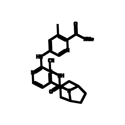 CNC(=O)c1ncc(Nc2nccc(N3CC4CCC(C3)N4C(=O)NCC#N)n2)cc1C